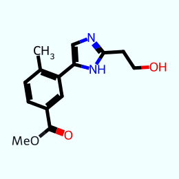 COC(=O)c1ccc(C)c(-c2cnc(CCO)[nH]2)c1